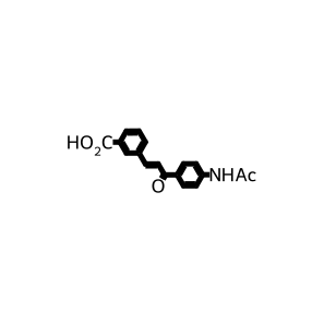 CC(=O)Nc1ccc(C(=O)C=Cc2cccc(C(=O)O)c2)cc1